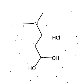 CN(C)CCC(O)O.Cl